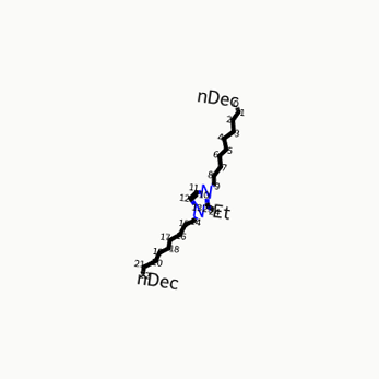 CCCCCCCCCCCCCCCCCCCn1cc[n+](CCCCCCCCCCCCCCCCCC)c1CC